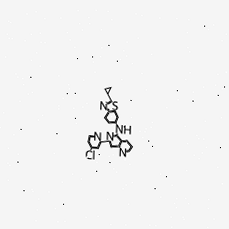 Clc1ccnc(-c2cc3ncccc3c(Nc3ccc4nc(C5CC5)sc4c3)n2)c1